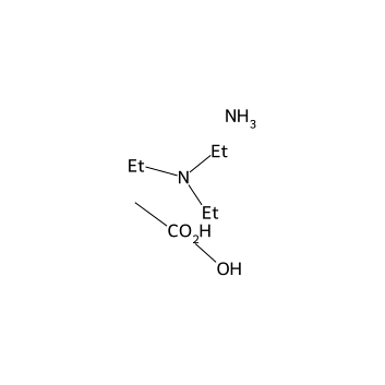 CC(=O)O.CCN(CC)CC.CO.N